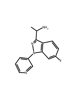 CC(N)c1nn(-c2cccnc2)c2cc(F)ccc12